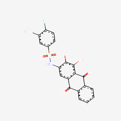 O=C1c2ccccc2C(=O)c2c1cc(NS(=O)(=O)c1ccc(F)c(C(F)(F)F)c1)c(O)c2O